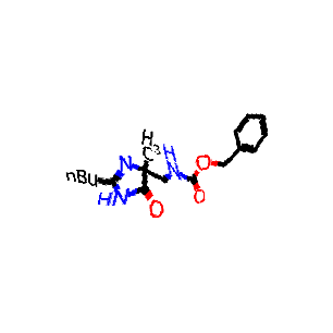 CCCCC1=NC(C)(CNC(=O)OCc2ccccc2)C(=O)N1